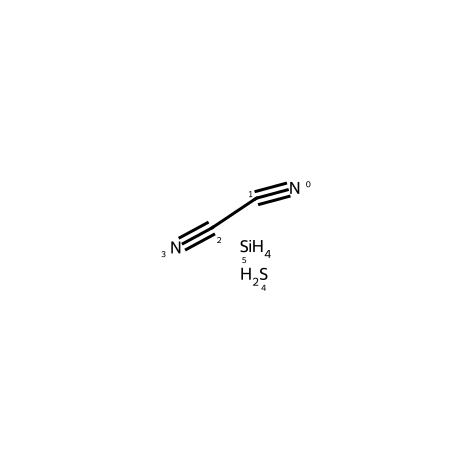 N#CC#N.S.[SiH4]